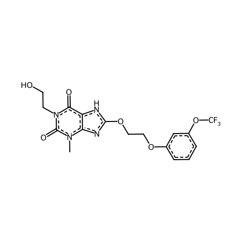 Cn1c(=O)n(CCO)c(=O)c2[nH]c(OCCOc3cccc(OC(F)(F)F)c3)nc21